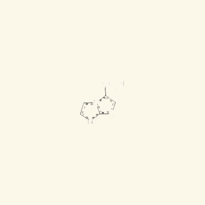 O=C(O)c1csc2nccn12